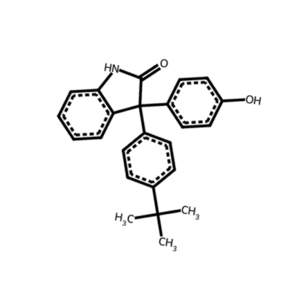 CC(C)(C)c1ccc(C2(c3ccc(O)cc3)C(=O)Nc3ccccc32)cc1